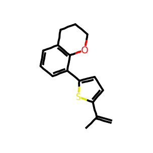 C=C(C)c1ccc(-c2cccc3c2OCCC3)s1